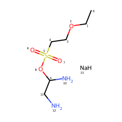 CCOCCS(=O)(=O)OC(N)CN.[NaH]